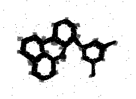 Cc1cc(C)cc(-c2nccc3c2Oc2cccc4cccc-3c24)c1